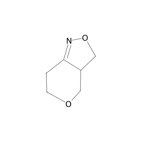 C1CC2=NOCC2CO1